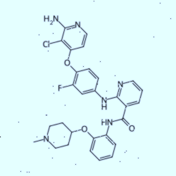 CN1CCC(Oc2ccccc2NC(=O)c2cccnc2Nc2ccc(Oc3ccnc(N)c3Cl)c(F)c2)CC1